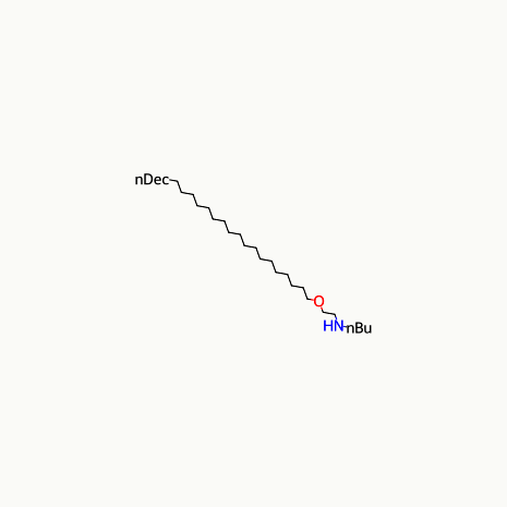 [CH2]CCCNCCOCCCCCCCCCCCCCCCCCCCCCCCCCCCC